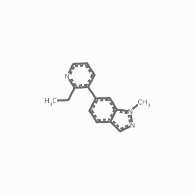 CCc1ncccc1-c1ccc2cnn(C)c2c1